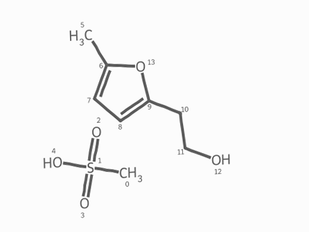 CS(=O)(=O)O.Cc1ccc(CCO)o1